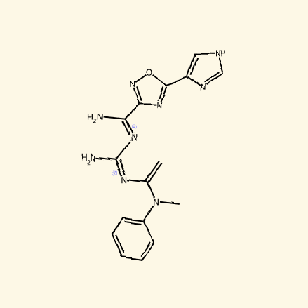 C=C(/N=C(N)\N=C(/N)c1noc(-c2c[nH]cn2)n1)N(C)c1ccccc1